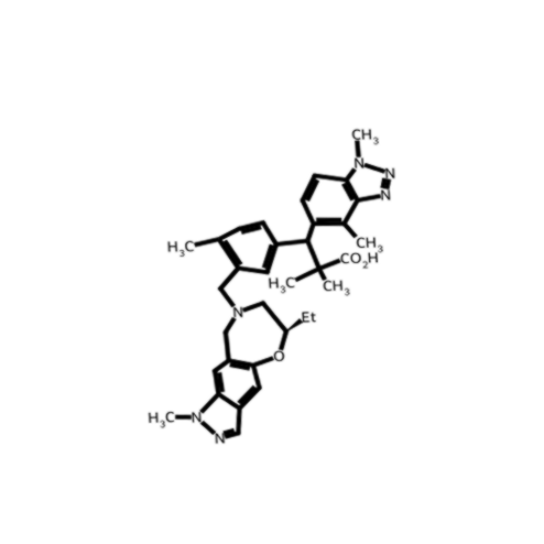 CC[C@@H]1CN(Cc2cc(C(c3ccc4c(nnn4C)c3C)C(C)(C)C(=O)O)ccc2C)Cc2cc3c(cnn3C)cc2O1